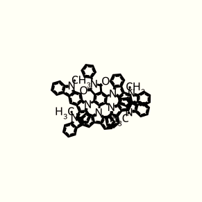 Cn1c2ccccc2c2cc3c4ccccc4n(-c4c5c(c(-n6c7ccccc7c7cc8c9ccccc9n(C)c8cc76)c(-n6c7ccccc7c7cc8c9ccccc9n(C)c8cc76)c4-n4c6ccccc6c6cc7c8ccccc8n(C)c7cc64)C(=O)N(c4ccccc4)C5=O)c3cc21